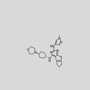 Cn1cc(Nc2nc(N[C@H]3CC[C@H](N4CCOCC4)CC3)c3c4c(sc3n2)CCC4)cn1